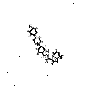 Cc1nc2c(F)cccn2c1C(=O)NCc1ccc(N2CCC(c3ccc(F)cc3)CC2)cc1